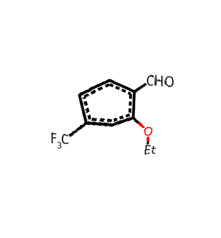 CCOc1cc(C(F)(F)F)ccc1C=O